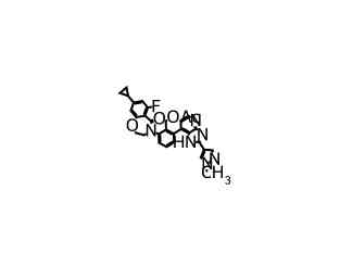 CC(=O)OCc1c(-c2ccnc3nc(-c4cnn(C)c4)[nH]c23)cccc1N1CCOc2cc(C3CC3)cc(F)c2C1=O